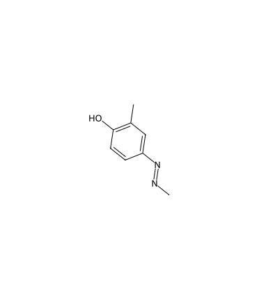 CN=Nc1ccc(O)c(C)c1